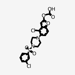 O=C(O)Oc1cc2c(Cl)c(N3CCN(S(=O)(=O)c4cccc(Cl)c4)CC3)ccc2o1